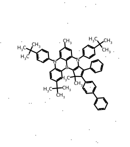 Cc1cc2c3c(c1)N(c1ccc(C(C)(C)C)cc1)c1ccc(C(C)(C)C)cc1B3C1=C(C(c3ccccc3)=C(c3ccc(-c4ccccc4)cc3)C1(C)C)N2c1ccc(C(C)(C)C)cc1